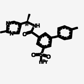 CCCS(=O)(=O)c1cc(C(=O)N[C@H](C)c2cnc(C)nc2)cc(-c2ccc(C)cc2)c1